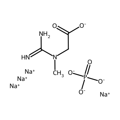 CN(CC(=O)[O-])C(=N)N.O=P([O-])([O-])[O-].[Na+].[Na+].[Na+].[Na+]